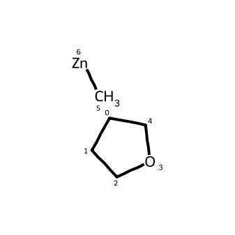 C1CCOC1.[CH3][Zn]